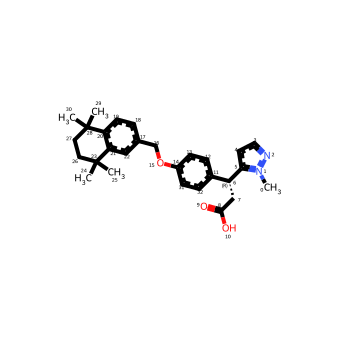 Cn1nccc1[C@H](CC(=O)O)c1ccc(OCc2ccc3c(c2)C(C)(C)CCC3(C)C)cc1